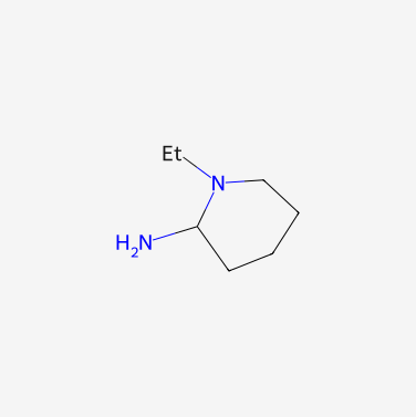 CCN1CCCCC1N